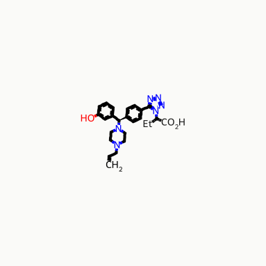 C=CCN1CCN([C@H](c2ccc(-c3nnnn3C(CC)C(=O)O)cc2)c2cccc(O)c2)CC1